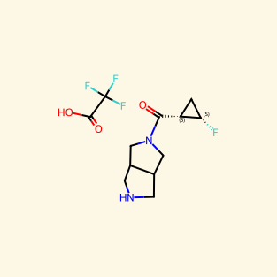 O=C(O)C(F)(F)F.O=C([C@@H]1C[C@@H]1F)N1CC2CNCC2C1